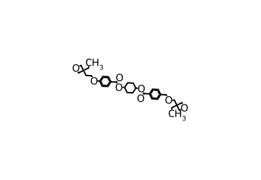 CCC1(CCOc2ccc(C(=O)OC3CCC(OC(=O)c4ccc(COCC5(CC)COC5)cc4)CC3)cc2)COC1